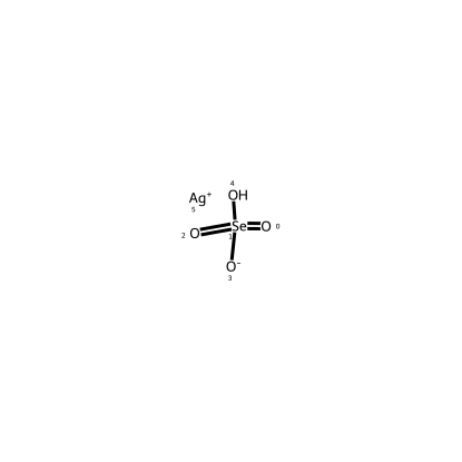 O=[Se](=O)([O-])O.[Ag+]